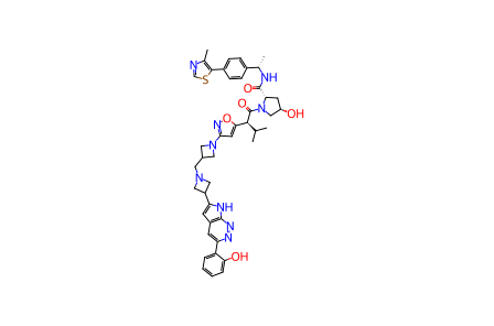 Cc1ncsc1-c1ccc([C@H](C)NC(=O)[C@@H]2C[C@@H](O)CN2C(=O)[C@H](c2cc(N3CC(CN4CC(c5cc6cc(-c7ccccc7O)nnc6[nH]5)C4)C3)no2)C(C)C)cc1